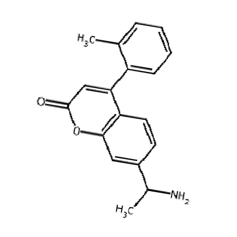 Cc1ccccc1-c1cc(=O)oc2cc(C(C)N)ccc12